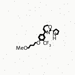 COCCCCOc1ccc(C2=CCCOC([C@@H]3CCCN3)=N2)cc1C(F)(F)F